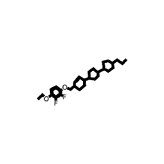 CCCC1CCC(C2CCC(C3C=CC(COc4ccc(OCC)c(F)c4F)CC3)CC2)CC1